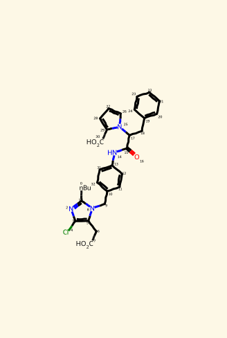 CCCCc1nc(Cl)c(CC(=O)O)n1Cc1ccc(NC(=O)C(Cc2ccccc2)n2cccc2C(=O)O)cc1